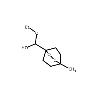 CCOC(O)C12CCC(C)(CC1)CO2